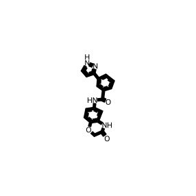 O=C1COc2ccc(NC(=O)c3cccc(-c4cc[nH]n4)c3)cc2N1